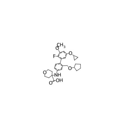 COc1cc(OC2CC2)cc(-c2ccc(NC3(C(=O)O)CCOCC3)cc2COC2CCCC2)c1F